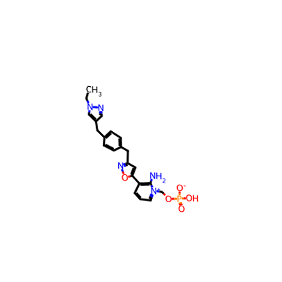 CCn1cc(Cc2ccc(Cc3cc(-c4ccc[n+](COP(=O)([O-])O)c4N)on3)cc2)cn1